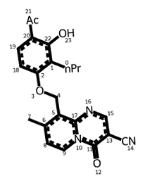 CCCc1c(OCc2c(C)ccn3c(=O)c(C#N)cnc23)ccc(C(C)=O)c1O